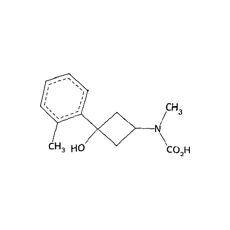 Cc1ccccc1C1(O)CC(N(C)C(=O)O)C1